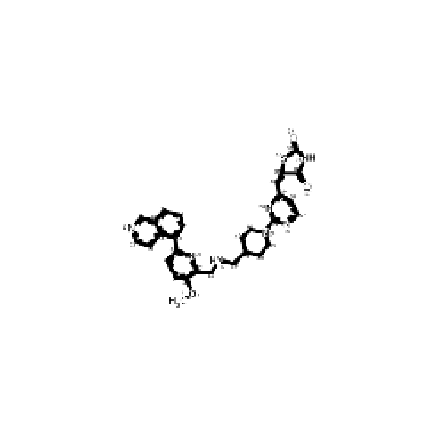 COc1ccc(-c2cccc3cnccc23)nc1CNCC1CCN(c2nccc(C=C3SC(=O)NC3=O)n2)CC1